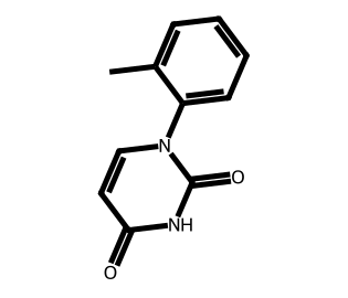 Cc1ccccc1-n1ccc(=O)[nH]c1=O